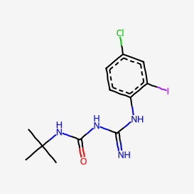 CC(C)(C)NC(=O)NC(=N)Nc1ccc(Cl)cc1I